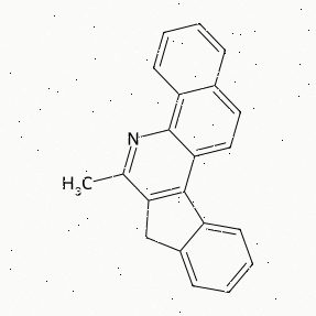 Cc1nc2c(ccc3ccccc32)c2c1Cc1ccccc1-2